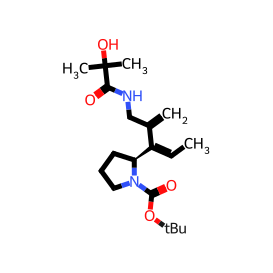 C=C(CNC(=O)C(C)(C)O)/C(=C\C)[C@@H]1CCCN1C(=O)OC(C)(C)C